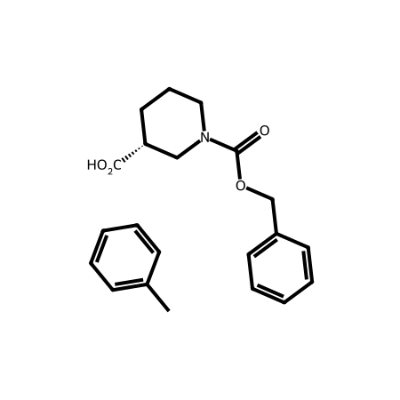 Cc1ccccc1.O=C(O)[C@@H]1CCCN(C(=O)OCc2ccccc2)C1